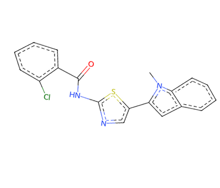 Cn1c(-c2cnc(NC(=O)c3ccccc3Cl)s2)cc2ccccc21